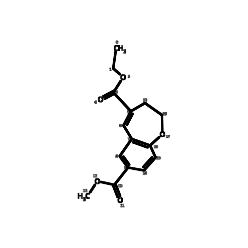 CCOC(=O)C1=Cc2cc(C(=O)OC)ccc2OCC1